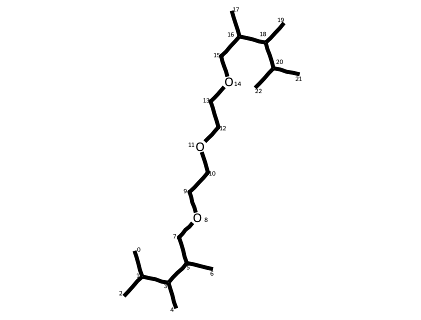 CC(C)C(C)C(C)COCCOCCOCC(C)C(C)C(C)C